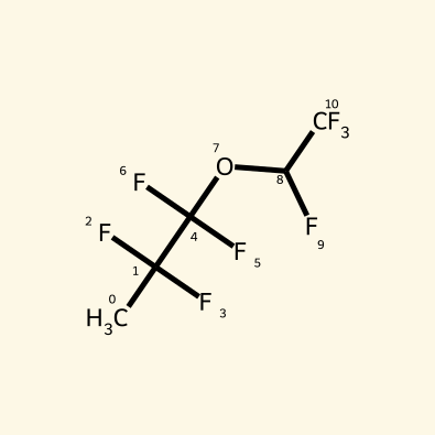 CC(F)(F)C(F)(F)OC(F)C(F)(F)F